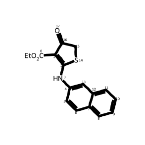 CCOC(=O)C1=C(Nc2ccc3ccccc3c2)SCC1=O